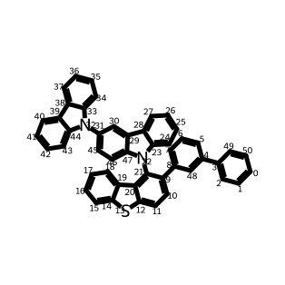 c1ccc(-c2cccc(-c3ccc4sc5ccccc5c4c3-n3c4ccccc4c4cc(-n5c6ccccc6c6ccccc65)ccc43)c2)cc1